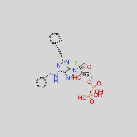 O=P(O)(O)CP(=O)(O)OC[C@H]1OC[C@@](F)(n2cnc3c(NCc4ccccc4)nc(C#Cc4ccccc4)nc32)[C@@H]1O